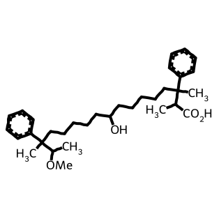 COC(C)C(C)(CCCCCC(O)CCCCCC(C)(c1ccccc1)C(C)C(=O)O)c1ccccc1